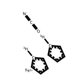 [2H][c-]1cccc1.[2H][c-]1cccc1.[Fe+2].[N-]=C=O